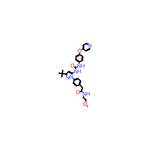 COCCNC(=O)Cc1ccc(-n2nc(C(C)(C)C)cc2NC(=O)Nc2ccc(Oc3ccncc3)cc2)cc1